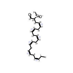 CC/C=C\C/C=C\C/C=C\C/C=C\C/C=C\C/C=C\CC(C=O)[S+](C)[O-]